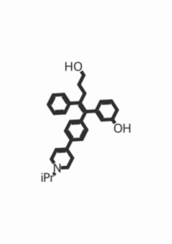 CC(C)N1CC=C(c2ccc(/C(C3=CC(O)CC=C3)=C(/CCCO)c3ccccc3)cc2)CC1